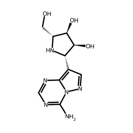 Nc1ncnc2c([C@@H]3N[C@H](CO)[C@@H](O)[C@H]3O)cnn12